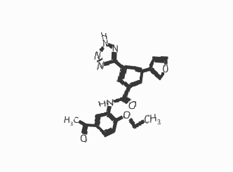 CCOc1ccc(C(C)=O)cc1NC(=O)c1cc(-c2ccoc2)cc(-c2nn[nH]n2)c1